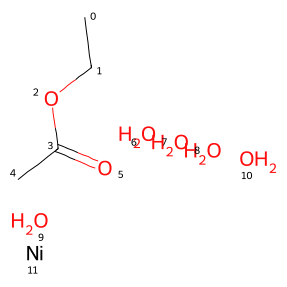 CCOC(C)=O.O.O.O.O.O.[Ni]